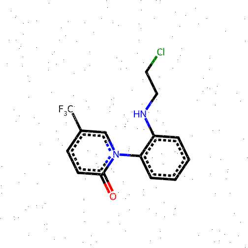 O=c1ccc(C(F)(F)F)cn1-c1ccccc1NCCCl